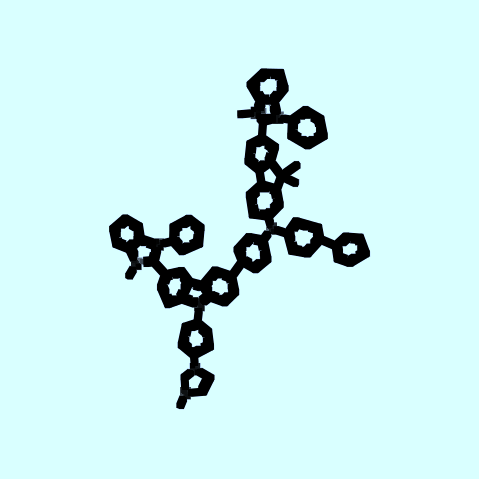 CN1C=CN(c2ccc(-n3c4ccc(-c5ccc(N(c6ccc(-c7ccccc7)cc6)c6ccc7c(c6)C(C)(C)c6cc(-c8n(-c9ccccc9)c9ccccc9[n+]8C)ccc6-7)cc5)cc4c4cc(-c5n(-c6ccccc6)c6ccccc6[n+]5C)ccc43)cc2)C1